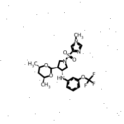 C[C@H]1C[C@H](C)OC([C@H]2CN(S(=O)(=O)c3cn(C)cn3)C[C@@H]2Nc2cccc(OC(F)(F)F)c2)O1